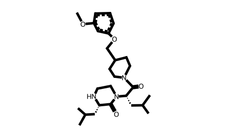 COc1cccc(OCC2CCN(C(=O)[C@H](CC(C)C)N3CCN[C@@H](CC(C)C)C3=O)CC2)c1